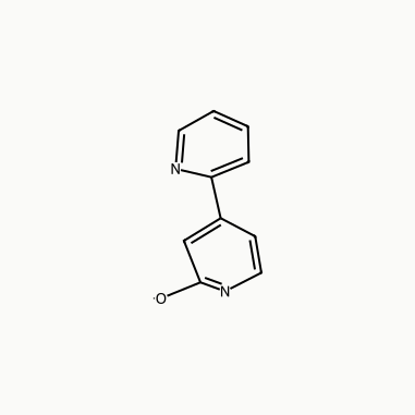 [O]c1cc(-c2ccccn2)ccn1